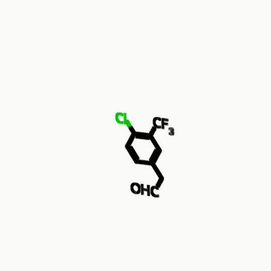 O=CCc1ccc(Cl)c(C(F)(F)F)c1